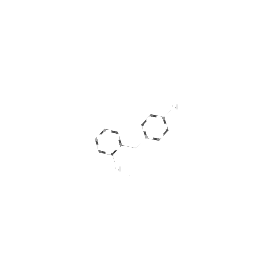 Nc1ccc(Cc2cc[c]cc2N)cc1